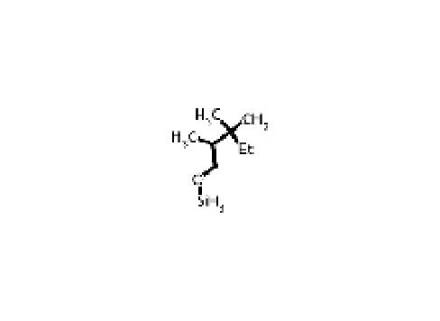 CCC(C)(C)C(C)CO[SiH3]